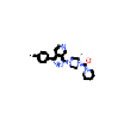 [CH2]c1ccc(-c2nnc(N3CCN(C(=O)N4CCCCC4)[C@@H](C)C3)c3cnccc23)cc1